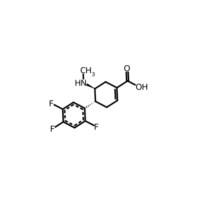 CN[C@H]1CC(C(=O)O)=CC[C@@H]1c1cc(F)c(F)cc1F